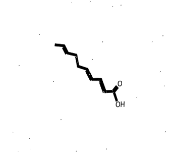 CC=CCCC=CC=CC(=O)O